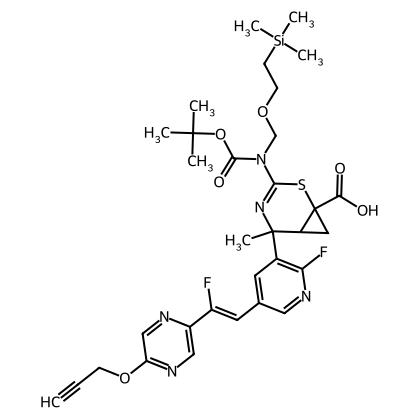 C#CCOc1cnc(C(F)=Cc2cnc(F)c(C3(C)N=C(N(COCC[Si](C)(C)C)C(=O)OC(C)(C)C)SC4(C(=O)O)CC43)c2)cn1